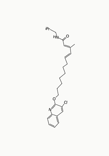 CC(C=CCCCCCCCOc1nc2ccccc2cc1Cl)=CC(=O)NCC(C)C